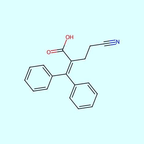 N#CCCC(C(=O)O)=C(c1ccccc1)c1ccccc1